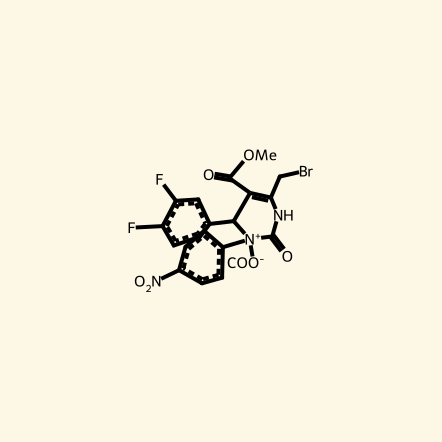 COC(=O)C1=C(CBr)NC(=O)[N+](C(=O)[O-])(c2ccc([N+](=O)[O-])cc2)C1c1ccc(F)c(F)c1